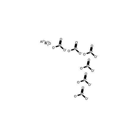 O.O=[N+]([O-])[O-].O=[N+]([O-])[O-].O=[N+]([O-])[O-].O=[N+]([O-])[O-].O=[N+]([O-])[O-].O=[N+]([O-])[O-].[Al+3].[Al+3]